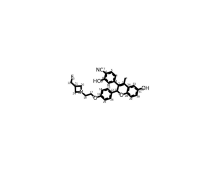 CC1=C(c2ccc(C#N)c(O)c2)C(c2ccc(OCCN3CC(CF)C3)cc2)Oc2ccc(O)cc21